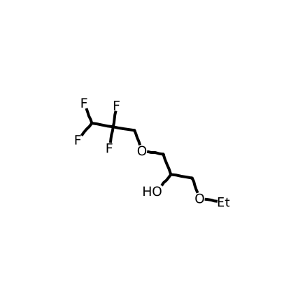 CCOCC(O)COCC(F)(F)C(F)F